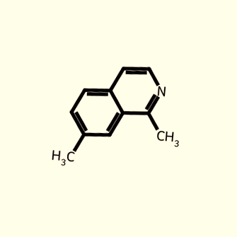 Cc1ccc2ccnc(C)c2c1